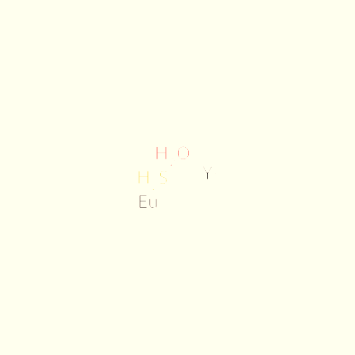 O.S.[Eu].[Y]